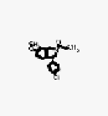 C=CC(=O)N1Cc2cc(OC)ccc2[C@@H](c2ccc(Cl)cc2)C1